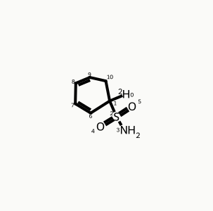 [2H]C1(S(N)(=O)=O)C=CC=CC1